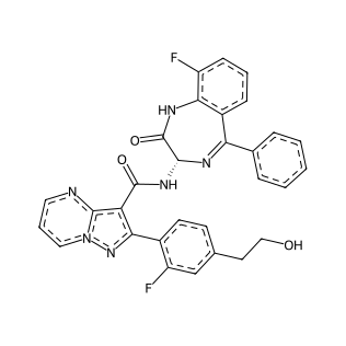 O=C(N[C@H]1N=C(c2ccccc2)c2cccc(F)c2NC1=O)c1c(-c2ccc(CCO)cc2F)nn2cccnc12